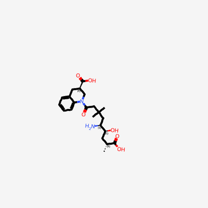 C[C@H](C[C@H](O)[C@@H](N)CC(C)(C)CC(=O)N1C[C@H](C(=O)O)Cc2ccccc21)C(=O)O